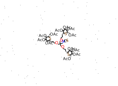 CC(=O)OC[C@@H]1S[C@H](CCCOCC(CN=C=S)(COCCC[C@H]2S[C@@H](COC(C)=O)[C@@H](OC(C)=O)[C@H](OC(C)=O)[C@H]2OC(C)=O)COCCC[C@H]2S[C@@H](COC(C)=O)[C@@H](OC(C)=O)[C@H](OC(C)=O)[C@H]2OC(C)=O)[C@H](OC(C)=O)[C@@H](OC(C)=O)[C@@H]1OC(C)=O